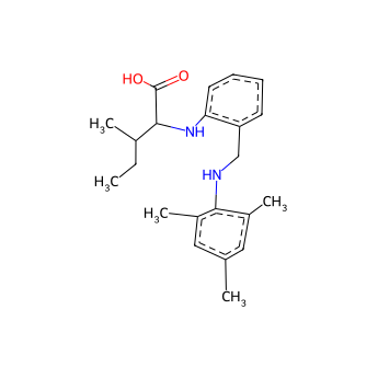 CCC(C)C(Nc1ccccc1CNc1c(C)cc(C)cc1C)C(=O)O